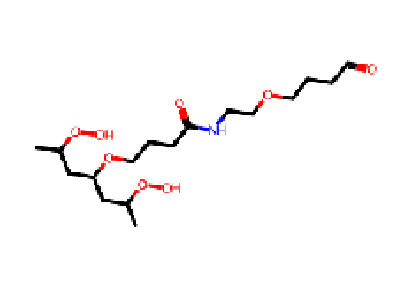 CC(CC(CC(C)OO)OCCCC(=O)NCCOCCCC=O)OO